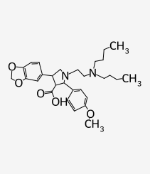 CCCCN(CCCC)CCN1CC(c2ccc3c(c2)OCO3)C(C(=O)O)C1c1ccc(OC)cc1